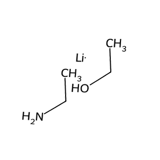 CCN.CCO.[Li]